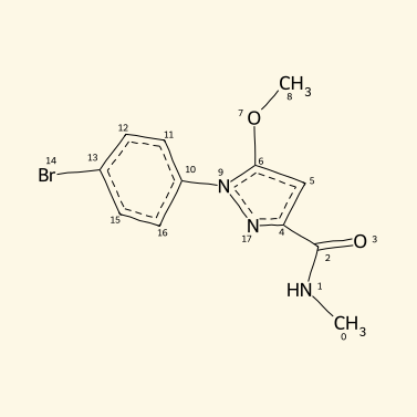 CNC(=O)c1cc(OC)n(-c2ccc(Br)cc2)n1